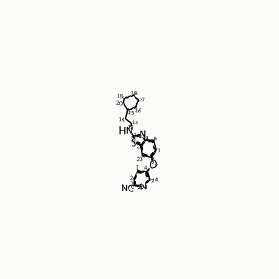 N#Cc1ccc(Oc2ccc3nc(NCCC4CCCCC4)sc3c2)cn1